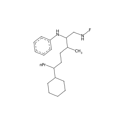 CCCC(CCC(C)C(CNF)Nc1ccccc1)C1CCCCC1